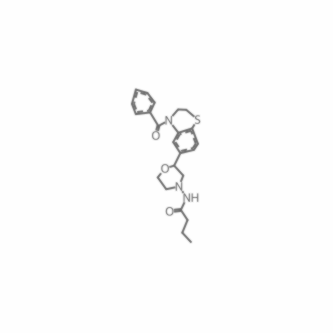 CCCC(=O)NN1CCOC(c2ccc3c(c2)N(C(=O)c2ccccc2)CCS3)C1